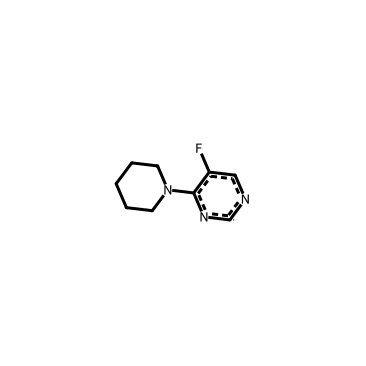 Fc1cn[c]nc1N1CCCCC1